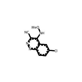 CONc1c(C#N)nnc2ccc(Cl)cc12